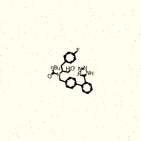 CCCCC(=O)N(Cc1ccc(-c2ccccc2-c2nnn[nH]2)cc1)C(CO)Cc1ccc(F)cc1